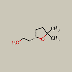 CC1(C)CC[C@@H](CCO)O1